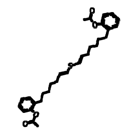 CC(=O)Oc1ccccc1CCCCCC=CSC=CCCCCCc1ccccc1OC(C)=O